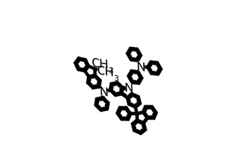 CC1(C)c2ccccc2-c2ccc(N(c3ccccc3)c3ccc4c(c3)c3cc(C5(c6ccccc6)c6ccccc6-c6ccccc65)ccc3n4-c3ccc(N(c4ccccc4)c4ccccc4)cc3)cc21